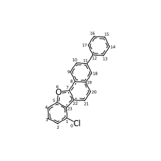 Clc1cccc2oc3c4ccc(-c5ccccc5)cc4ccc3c12